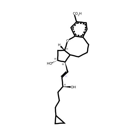 O=C(O)c1ccc2c(c1)O[C@H]1C[C@@H](O)[C@H](/C=C/[C@@H](O)CCCC3CC3)C1CCC2